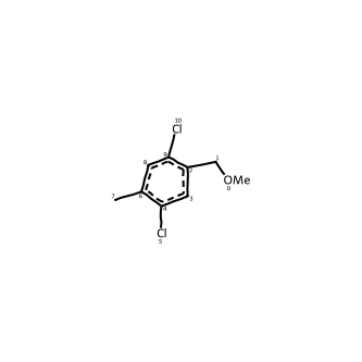 COCc1cc(Cl)c(C)cc1Cl